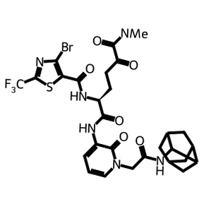 CNC(=O)C(=O)CC[C@H](NC(=O)c1sc(C(F)(F)F)nc1Br)C(=O)Nc1cccn(CC(=O)NC2C3CC4CC(C3)C2C4)c1=O